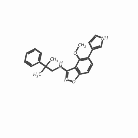 COc1c(-c2cc[nH]c2)ccc2onc(NCC(C)(C)c3ccccc3)c12